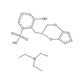 CCN(CC)CC.O=S(=O)(O)c1cccc(O)c1CC1COc2cscc2O1